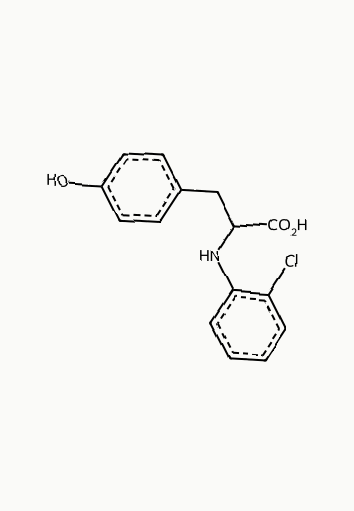 O=C(O)C(Cc1ccc(O)cc1)Nc1ccccc1Cl